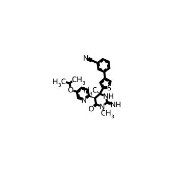 CC(C)Oc1ccc([C@@H]2C(=O)N(C)C(=N)N[C@]2(C)c2cc(-c3cccc(C#N)c3)cs2)nc1